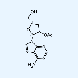 CC(=O)OC1C[C@@H](CO)O[C@H]1n1cnc2c(N)ncnc21